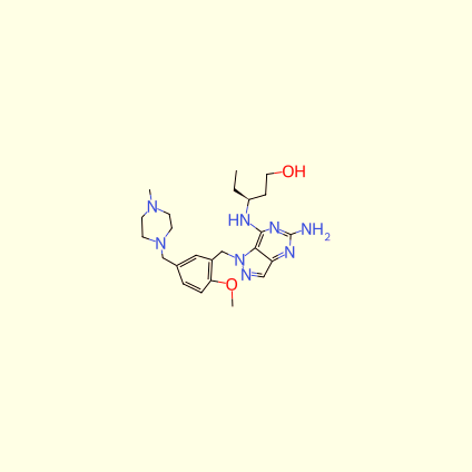 CC[C@@H](CCO)Nc1nc(N)nc2cnn(Cc3cc(CN4CCN(C)CC4)ccc3OC)c12